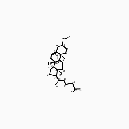 COC1CC[C@@]2(C)C(=CC[C@H]3C4CCC([C@H](C)CCCC(C)C)[C@@]4(C)CC[C@@H]32)C1